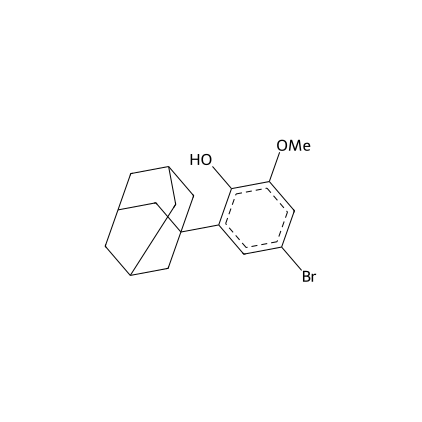 COc1cc(Br)cc(C23CC4CC(CC(C4)C2)C3)c1O